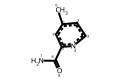 Cc1ccnc(C(N)=O)c1